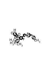 CC1CN(c2cc(F)c(C3=CCN(c4ncc(CN5CCN(C)CC5)cn4)C3)cc2NC(=O)c2c[nH]c(=O)cc2C(F)(F)F)CC(C)N1C